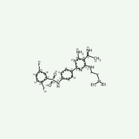 CCN(CC)CCNc1nc(-c2ccc(NS(=O)(=O)c3cc(F)ccc3F)cc2)nc(N)c1C(C)=N